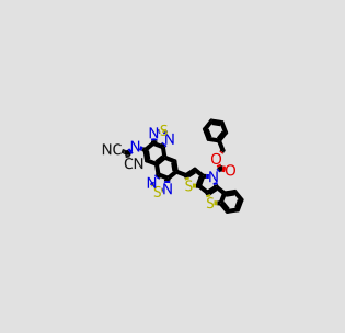 N#CC(C#N)=Nc1cc2c(cc(-c3cc4c(s3)c3sc5ccccc5c3n4C(=O)OCc3ccccc3)c3nsnc32)c2nsnc12